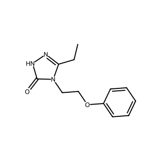 CCc1n[nH]c(=O)n1CCOc1ccccc1